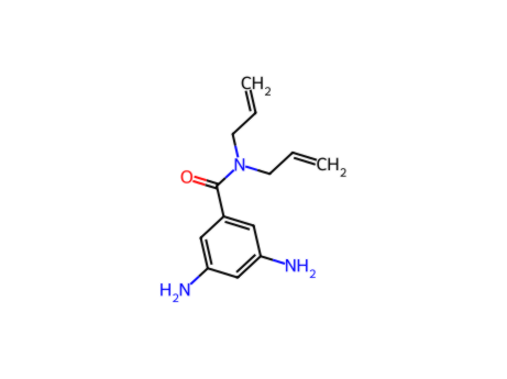 C=CCN(CC=C)C(=O)c1cc(N)cc(N)c1